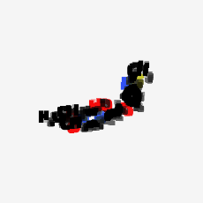 Cc1nc2cc(OCCC(O)CN3CCN(C(=O)OC(C)(C)C)CC3)ccc2s1